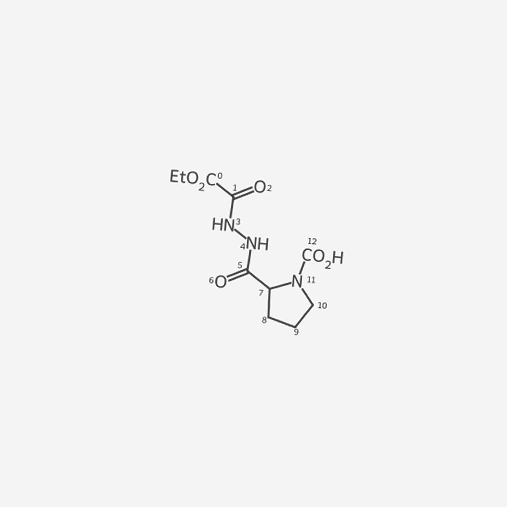 CCOC(=O)C(=O)NNC(=O)C1CCCN1C(=O)O